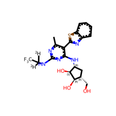 [2H]C([2H])(Nc1nc(C)c(-c2nc3ccccc3s2)c(N[C@@H]2C[C@H](CO)[C@@H](O)[C@H]2O)n1)C(F)(F)F